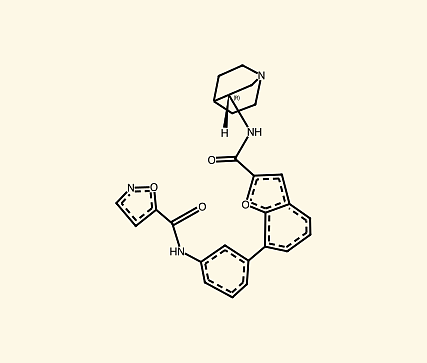 O=C(Nc1cccc(-c2cccc3cc(C(=O)N[C@H]4CN5CCC4CC5)oc23)c1)c1ccno1